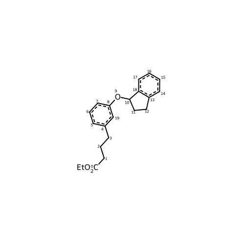 CCOC(=O)CCCc1cccc(OC2CCc3ccccc32)c1